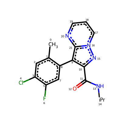 Cc1cc(Cl)c(F)cc1-c1c(C(=O)NC(C)C)nn2cccnc12